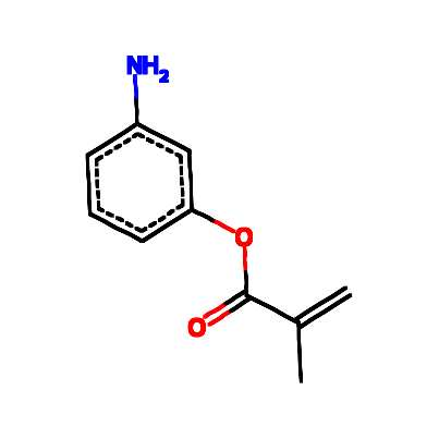 C=C(C)C(=O)Oc1cccc(N)c1